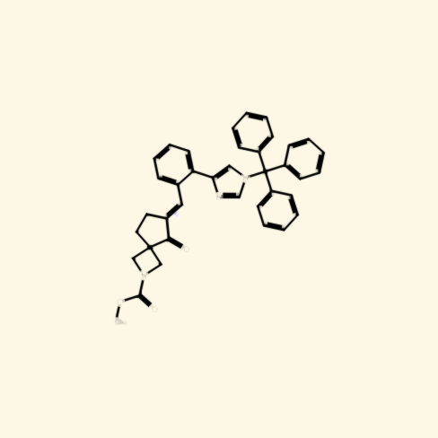 CC(C)(C)OC(=O)N1CC2(CC/C(=C\c3ccccc3-c3cn(C(c4ccccc4)(c4ccccc4)c4ccccc4)cn3)C2=O)C1